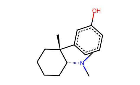 CN(C)[C@@H]1CCCC[C@]1(C)c1cccc(O)c1